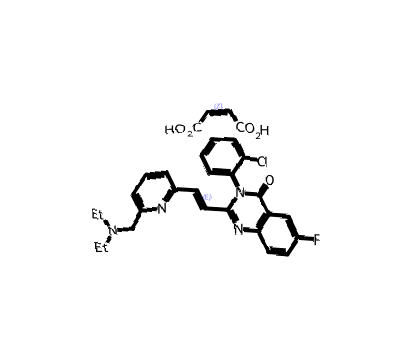 CCN(CC)Cc1cccc(/C=C/c2nc3ccc(F)cc3c(=O)n2-c2ccccc2Cl)n1.O=C(O)/C=C\C(=O)O